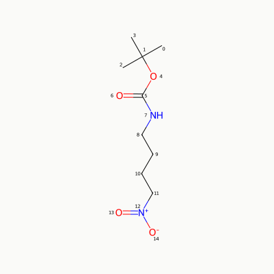 CC(C)(C)OC(=O)NCCCC[N+](=O)[O-]